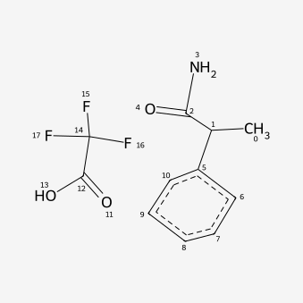 CC(C(N)=O)c1ccccc1.O=C(O)C(F)(F)F